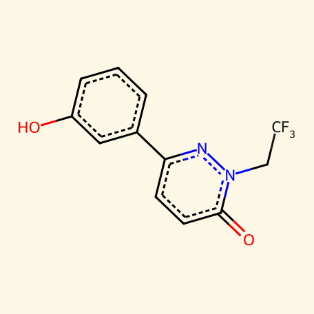 O=c1ccc(-c2cccc(O)c2)nn1CC(F)(F)F